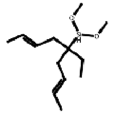 CC=CCC(CC)(CC=CC)[SiH](OC)OC